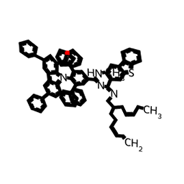 C=C/C=C\CCC(C/C=C\CC)C/N=C(\N=C(/NC)c1cc(-c2ccccc2)c(-n2c3c(-c4ccccc4)cc(-c4ccccc4)cc3c3cc(-c4ccccc4)cc(-c4ccccc4)c32)c(-c2ccccc2)c1)c1ccc2c(c1)sc1ccccc12